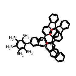 Bc1c(B)c(B)c(-c2ccc(N(c3ccc4c(c3)C3(c5ccccc5-c5ccc(N(c6ccccc6)c6ccccc6)cc53)c3ccccc3-4)c3ccc(-c4ccccc4)cc3-c3ccccc3)cc2)c(B)c1B